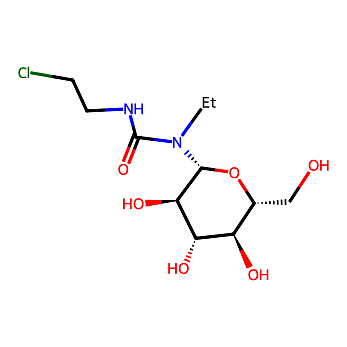 CCN(C(=O)NCCCl)[C@@H]1O[C@H](CO)[C@@H](O)[C@H](O)[C@H]1O